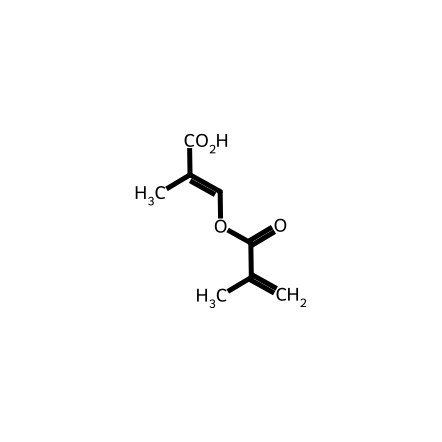 C=C(C)C(=O)OC=C(C)C(=O)O